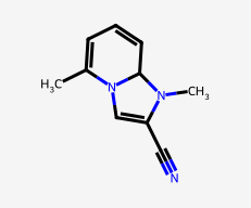 CC1=CC=CC2N(C)C(C#N)=CN12